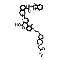 CCOC(=O)CN1CCC2(CC[C@H](CCOc3cccc(-c4ccc(N5CCc6cccc(C(=O)Nc7nc8ccccc8s7)c6C5)nc4C(=O)O)c3C)C2)CC1